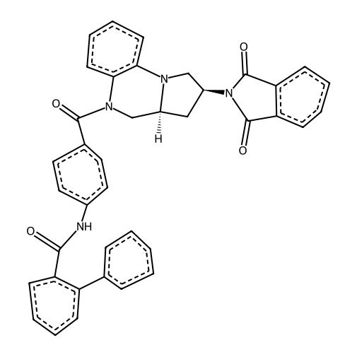 O=C(Nc1ccc(C(=O)N2C[C@@H]3C[C@H](N4C(=O)c5ccccc5C4=O)CN3c3ccccc32)cc1)c1ccccc1-c1ccccc1